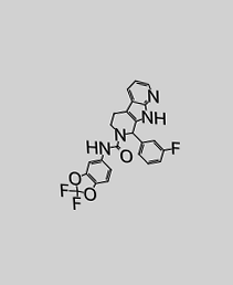 O=C(Nc1ccc2c(c1)OC(F)(F)O2)N1CCc2c([nH]c3ncccc23)C1c1cccc(F)c1